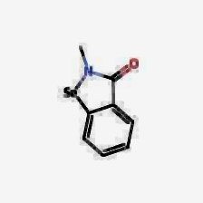 Cn1[se]c2ccccc2c1=O